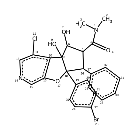 CN(C)C(=O)C1C(O)C2(O)c3c(Cl)cncc3OC2(c2ccc(Br)cc2)C1c1ccccc1